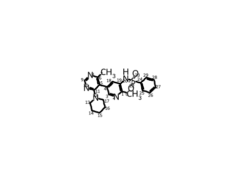 Cc1ncc(-c2c(C)ncnc2N2CCCCC2)cc1NS(=O)(=O)c1ccccc1